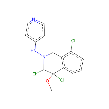 COC1(Cl)c2cccc(Cl)c2CN(Nc2ccncc2)C1Cl